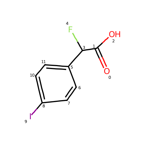 O=C(O)C(F)c1ccc(I)cc1